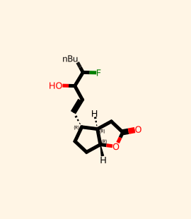 CCCCC(F)C(O)C=C[C@H]1CC[C@H]2OC(=O)C[C@H]12